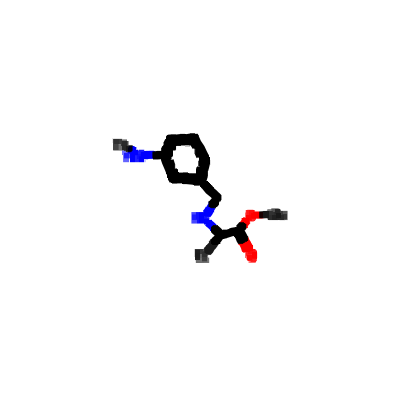 CCNc1cccc(CNC(CC)C(=O)OC(C)(C)C)c1